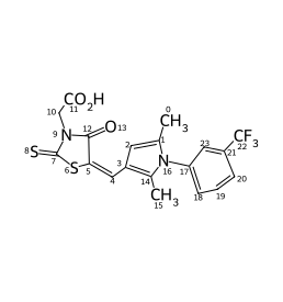 Cc1cc(C=C2SC(=S)N(CC(=O)O)C2=O)c(C)n1-c1cccc(C(F)(F)F)c1